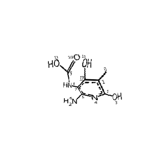 Cc1c(O)nc(N)c(NC(=O)O)c1O